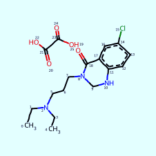 CCN(CC)CCCN1CNc2ccc(Cl)cc2C1=O.O=C(O)C(=O)O